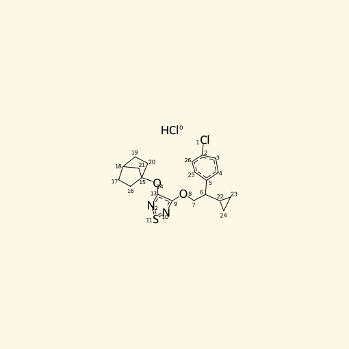 Cl.Clc1ccc(C(COc2nsnc2OC23CCC(CC2)C3)C2CC2)cc1